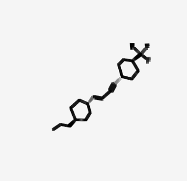 CCC[C@H]1CC[C@H](C=CC#C[C@H]2CC[C@H](C(F)(F)F)CC2)CC1